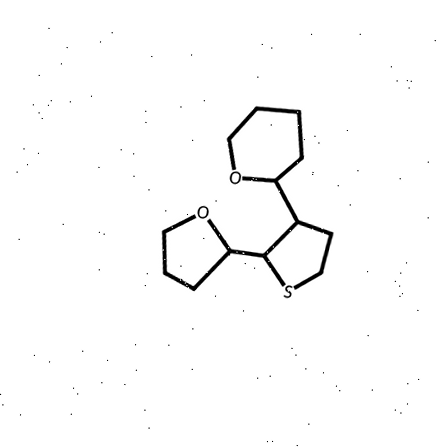 C1CCC(C2CCSC2[C]2CCCO2)OC1